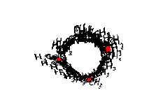 C=C1C(=O)N(C)[C@@H](C(C)CC)C(=O)N[C@H](C(C)C)C(=O)N(C)[C@H](CC(C)C)C(=O)N[C@H](C)C(=O)N[C@H](C)C(=O)N(C)[C@@H](CC(C)C)C(=O)N(C)C(=O)N(C)[C@@H](C(C)C)C(=O)N(C)C(C[C@H](C)C/C=C/C)C(=O)N[C@@H](CC)C(=O)N1C